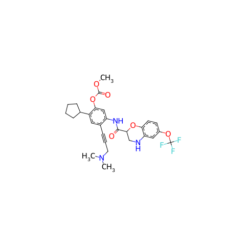 COC(=O)Oc1cc(NC(=O)C2CNc3cc(OC(F)(F)F)ccc3O2)c(C#CCN(C)C)cc1C1CCCC1